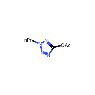 CCCn1nnc(OC(C)=O)n1